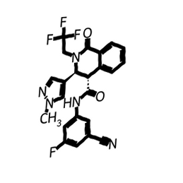 Cn1cc([C@@H]2[C@@H](C(=O)Nc3cc(F)cc(C#N)c3)c3ccccc3C(=O)N2CC(F)(F)F)cn1